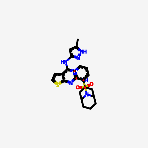 Cc1cc(Nc2nc(NC3CC4CCCC(C3)N4S(=O)(=O)c3cccnc3)nc3sccc23)n[nH]1